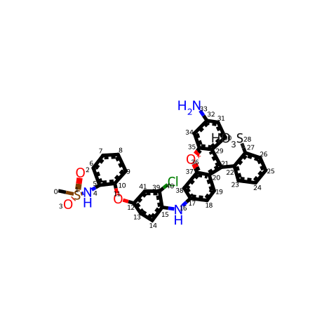 CS(=O)(=O)Nc1ccccc1Oc1ccc(Nc2ccc3c(-c4ccccc4S(=O)(=O)O)c4ccc(N)cc4[o+]c3c2)c(Cl)c1